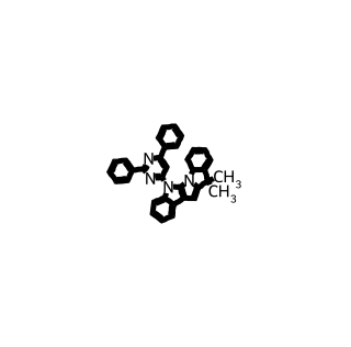 CC1(C)C2=CC=CCC2n2c1cc1c3ccccc3n(-c3cc(-c4ccccc4)nc(-c4ccccc4)n3)c12